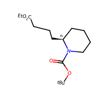 CCOC(=O)CCC[C@H]1CCCCN1C(=O)OC(C)(C)C